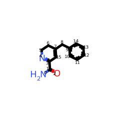 NC(=O)C1=NCCC(Cc2ccccc2)=C1